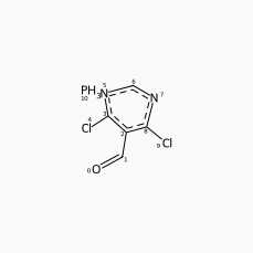 O=Cc1c(Cl)ncnc1Cl.P